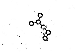 c1ccc(-c2cc(-c3ccccc3)cc(-c3cnc(-c4cccc5c4sc4ccccc45)nc3)c2)cc1